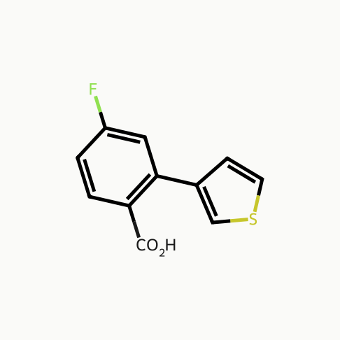 O=C(O)c1ccc(F)cc1-c1ccsc1